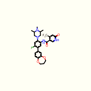 CC1CN(c2cc(F)c(-c3ccc4c(c3)OCCCO4)cc2NC(=O)c2c[nH]c(=O)cc2C(F)(F)F)CC(C)N1C